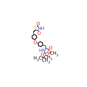 COC(=O)C(Cc1ccc(Oc2ccc(C=C3SC(=O)NC3=O)cc2)cc1)NC(=O)OC(C)(C)C